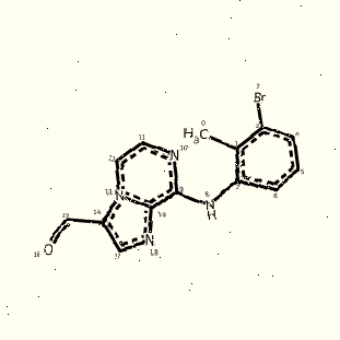 Cc1c(Br)cccc1Nc1nccn2c(C=O)cnc12